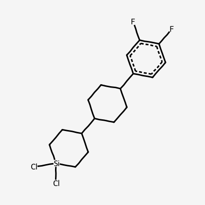 Fc1ccc(C2CCC(C3CC[Si](Cl)(Cl)CC3)CC2)cc1F